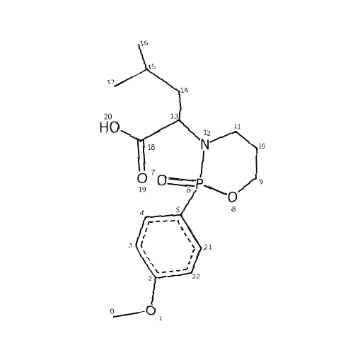 COc1ccc(P2(=O)OCCCN2C(CC(C)C)C(=O)O)cc1